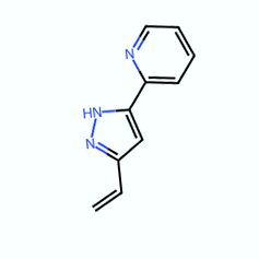 C=Cc1cc(-c2ccccn2)[nH]n1